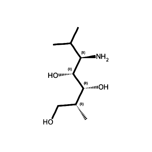 CC(C)[C@@H](N)[C@@H](O)[C@H](O)[C@H](C)CO